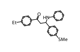 CCc1ccc(C(=O)CC(Nc2ccccc2)c2ccc(SC)cc2)cc1